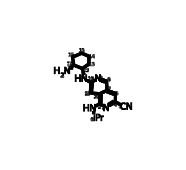 CC(C)Nc1nc(C#N)cc2cnc(NC3CCCCC3N)cc12